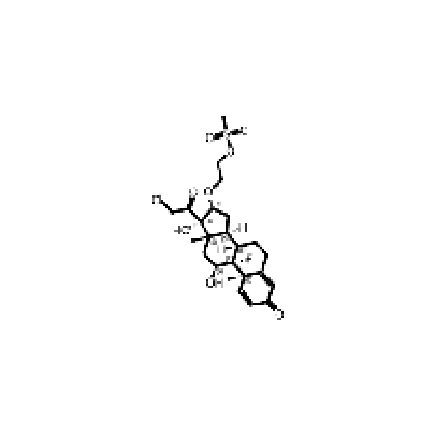 C[C@]12C=CC(=O)C=C1CC[C@H]1[C@@H]3C[C@@H](OCCOS(C)(=O)=O)[C@](O)(C(=O)CCl)[C@@]3(C)C[C@H](O)[C@@]12F